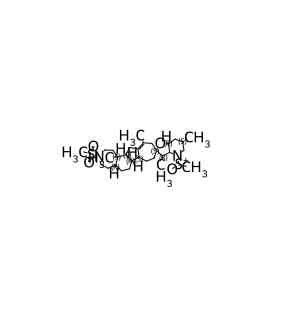 CC1=C2C[C@H]3[C@@H](CC[C@@H]4CCN(S(C)(=O)=O)CC[C@@]43C)[C@@H]2CC[C@@]2(C1)O[C@@H]1C[C@H](C)CN([S+](C)[O-])C1[C@H]2C